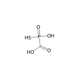 O=C(O)P(=O)(O)S